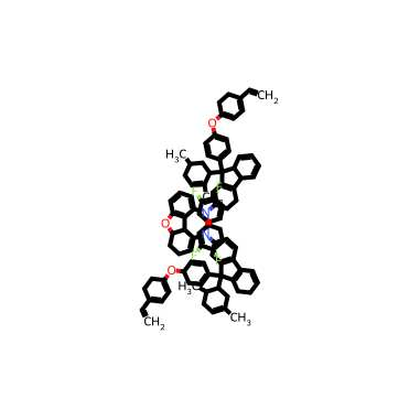 C=CC1=CC=C(Oc2ccc(C3(C4CC(C)CC=C4C)C4=C(CCC(N(c5cccc6c5C5C(N(C7C=CC(F)=C(F)C7)C7C=CC8=C(C7)C(C7=CCC(OC9=CC=C(C=C)CC9)C=C7)(C7CC(C)=CCC7C)C7=C8C=CCC7)=CCCC5O6)C5C=C(F)C(F)=CC5)=C4)C4C=CC=CC43)cc2)CC1